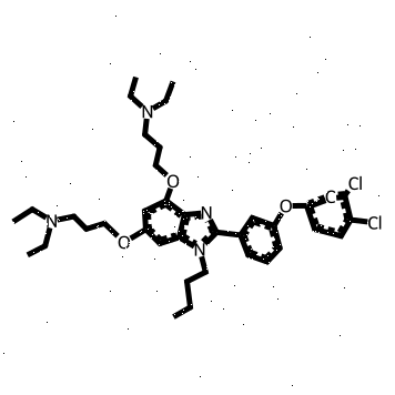 CCCCn1c(-c2cccc(Oc3ccc(Cl)c(Cl)c3)c2)nc2c(OCCCN(CC)CC)cc(OCCCN(CC)CC)cc21